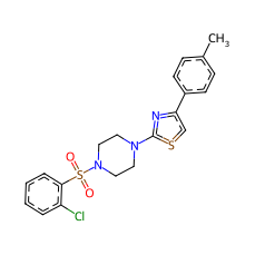 Cc1ccc(-c2csc(N3CCN(S(=O)(=O)c4ccccc4Cl)CC3)n2)cc1